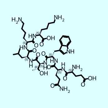 CC(C)C[C@H](NC(=O)[C@@H](NC(=O)[C@H](Cc1c[nH]c2ccccc12)NC(=O)[C@H](CCC(N)=O)NC(=O)[C@@H](N)CCC(=O)O)[C@@H](C)O)C(=O)N[C@@H](CCCCN)C(=O)N[C@@H](CCCCN)C(=O)O